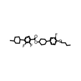 CCCCOc1ccc(C2CCC(OC(=O)c3ccc(C4CCC(C)CC4)c(F)c3F)CC2)cc1F